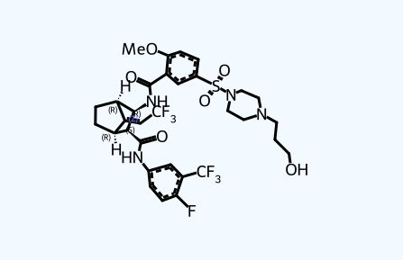 COc1ccc(S(=O)(=O)N2CCN(CCCO)CC2)cc1C(=O)N[C@H]1[C@@H](C(=O)Nc2ccc(F)c(C(F)(F)F)c2)[C@H]2CC[C@@H]1/C2=C\C(F)(F)F